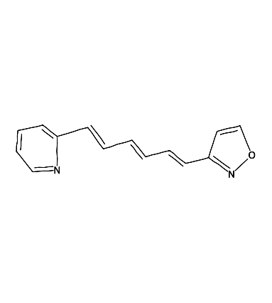 C(=CC=Cc1ccon1)C=Cc1ccccn1